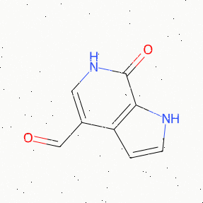 O=Cc1c[nH]c(=O)c2[nH]ccc12